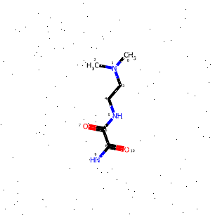 CN(C)CCNC(=O)C([NH])=O